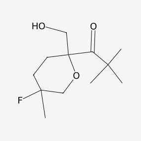 CC1(F)CCC(CO)(C(=O)C(C)(C)C)OC1